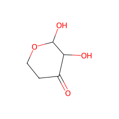 O=C1CCOC(O)C1O